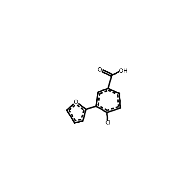 O=C(O)c1ccc(Cl)c(-c2cc[c]o2)c1